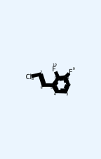 Fc1cccc(C=CCl)c1F